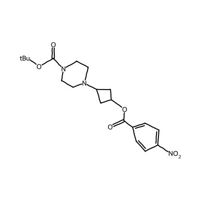 CC(C)(C)OC(=O)N1CCN(C2CC(OC(=O)c3ccc([N+](=O)[O-])cc3)C2)CC1